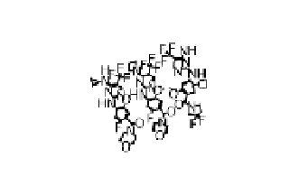 CNc1nc(Nc2cc(OC)c(C(=O)N3CCC(F)(F)C3)cc2Cl)ncc1C(F)(F)F.COc1cc(C(=O)N2CCOCC2)c(F)cc1Nc1ncc(C(F)(F)F)c(N2CCC2)n1.COc1cc(C(=O)N2CCOCC2)c(F)cc1Nc1ncc(C(F)(F)F)c(NC2CC2)n1